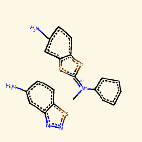 C/[N+](c1ccccc1)=c1/sc2ccc(N)cc2s1.Nc1ccc2snnc2c1